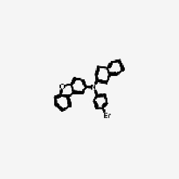 Brc1ccc(N(c2ccc3ccccc3c2)c2ccc3oc4ccccc4c3c2)cc1